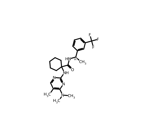 Cc1cnc(NC2(C(=O)N[C@H](C)c3cccc(C(F)(F)F)c3)CCCCC2)nc1N(C)C